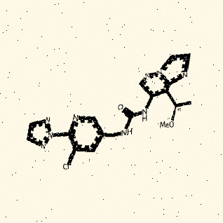 CO[C@H](C)c1c(NC(=O)Nc2cnc(-n3nccn3)c(Cl)c2)cnn2ccnc12